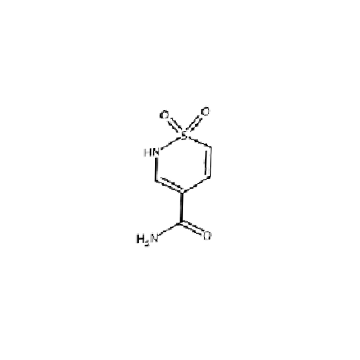 NC(=O)C1=CNS(=O)(=O)C=C1